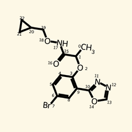 CC(Oc1ccc(Br)cc1-c1nnco1)C(=O)NOCC1CC1